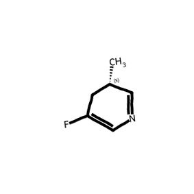 C[C@@H]1C=NC=C(F)C1